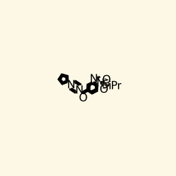 CC(C)S(=O)(=O)n1cnc2cc(C(=O)N3CCN(C4CCCC4)CC3)ccc21